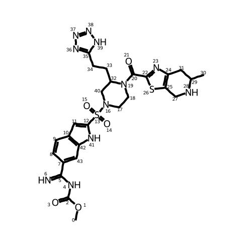 COC(=O)NC(=N)c1ccc2cc(S(=O)(=O)N3CCN(C(=O)c4nc5c(s4)CNC(C)C5)C(CCc4nnn[nH]4)C3)[nH]c2c1